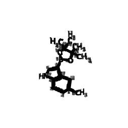 Cc1ccc2[nH]cc(B3OC(C)(C)C(C)(C)O3)c2c1